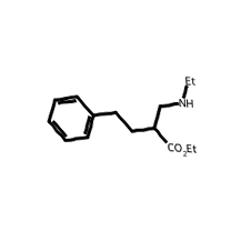 CCNCC(CCc1ccccc1)C(=O)OCC